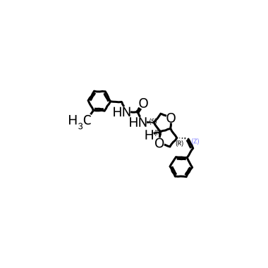 Cc1cccc(CNC(=O)N[C@H]2COC3[C@H](/C=C\c4ccccc4)CO[C@@H]32)c1